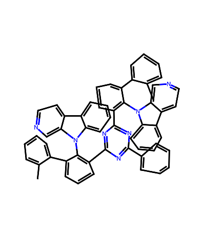 Cc1ccccc1-c1cccc(-c2nc(-c3ccccc3)nc(-c3cccc(-c4ccccc4C)c3-n3c4ccccc4c4ccncc43)n2)c1-n1c2ccccc2c2ccncc21